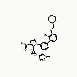 Cn1cc([C@@H]2C[C@H]2c2c(C(=O)O)cnn2-c2cccc(-c3cccc(OCC4CCCCC4)c3F)c2)nn1